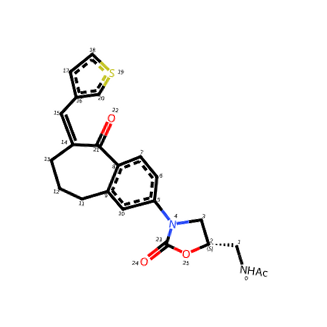 CC(=O)NC[C@H]1CN(c2ccc3c(c2)CCCC(=Cc2ccsc2)C3=O)C(=O)O1